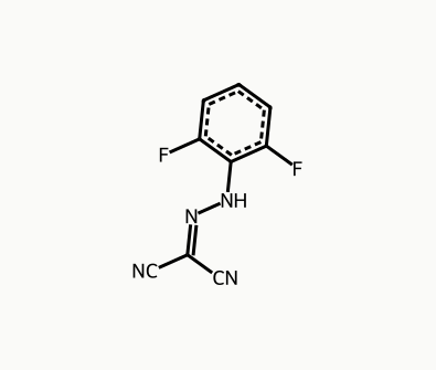 N#CC(C#N)=NNc1c(F)cccc1F